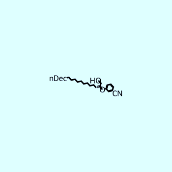 CCCCCCCCCCCCCCCCCCCC[C@H](CO)Oc1cccc(C#N)c1